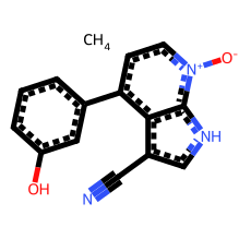 C.N#Cc1c[nH]c2c1c(-c1cccc(O)c1)cc[n+]2[O-]